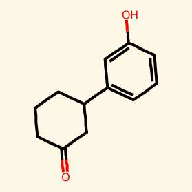 O=C1CCCC(c2cccc(O)c2)C1